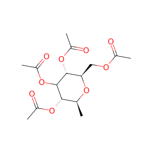 CC(=O)OC[C@H]1O[C@@H](C)[C@H](OC(C)=O)C(OC(C)=O)[C@@H]1OC(C)=O